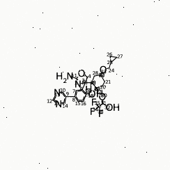 NC1=N[C@@]2(CO1)c1cc(-c3cncnc3)ccc1O[C@H]1CC[C@@H](OCC3CC3)C[C@@H]12.O=C(O)C(F)(F)F